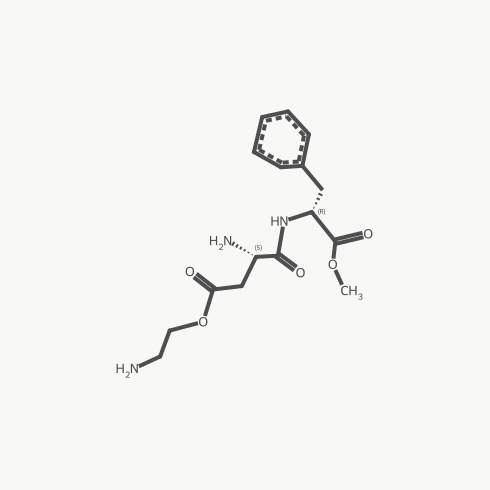 COC(=O)[C@@H](Cc1ccccc1)NC(=O)[C@@H](N)CC(=O)OCCN